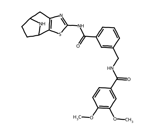 COc1ccc(C(=O)NCc2cccc(C(=O)Nc3nc4c(s3)C3CCC(C4)N3)c2)cc1OC